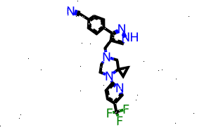 N#Cc1ccc(-c2n[nH]cc2CN2CCN(c3ccc(C(F)(F)F)cn3)C3(CC3)C2)cc1